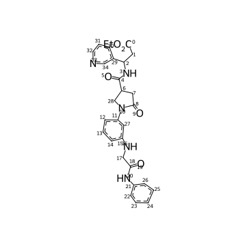 CCOC(=O)CC(NC(=O)C1CC(=O)N(c2cccc(NCC(=O)Nc3ccccc3)c2)C1)c1cccnc1